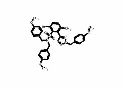 COc1ccc(CN(Cc2ccc(OC)cc2)S(=O)(=O)c2c(Br)ccc(C)c2-c2nnn(Cc3ccc(OC)cc3)n2)cc1